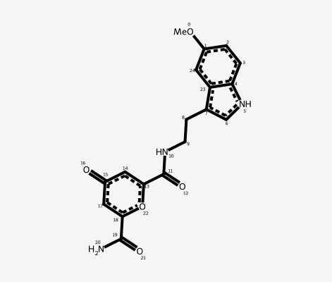 COc1ccc2[nH]cc(CCNC(=O)c3cc(=O)cc(C(N)=O)o3)c2c1